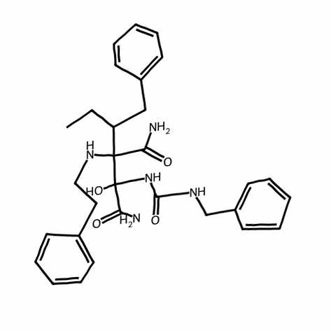 CCC(Cc1ccccc1)C(NCCc1ccccc1)(C(N)=O)C(O)(NC(=O)NCc1ccccc1)C(N)=O